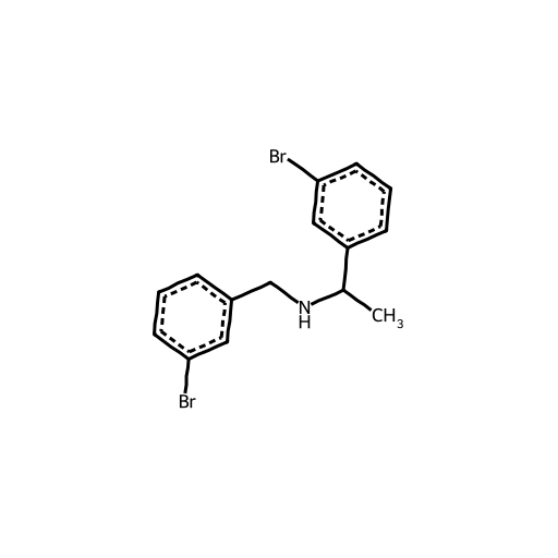 CC(NCc1cccc(Br)c1)c1cccc(Br)c1